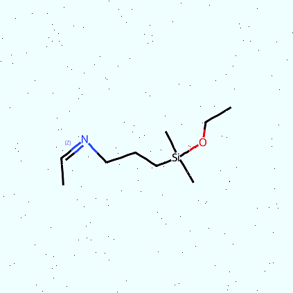 C/C=N\CCC[Si](C)(C)OCC